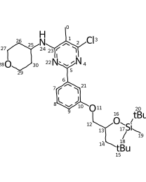 Cc1c(Cl)nc(-c2cccc(OCC([CH]C(C)(C)C)O[Si](C)(C)C(C)(C)C)c2)nc1NC1CCOCC1